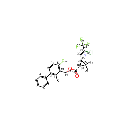 Cc1c(-c2ccccc2)ccc(F)c1COC(=O)[C@@H]1[C@H](/C=C(\Cl)C(F)(F)F)C1(C)C